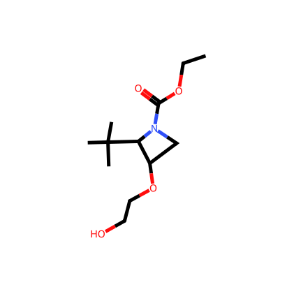 CCOC(=O)N1CC(OCCO)C1C(C)(C)C